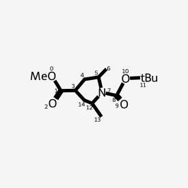 COC(=O)C1CC(C)N(C(=O)OC(C)(C)C)C(C)C1